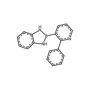 c1ccc(-c2ncccc2B2Nc3ccccc3N2)cc1